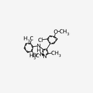 COc1ccc(-c2c(C)nn(C)c2Nc2c(C)cccc2Br)c(Cl)c1